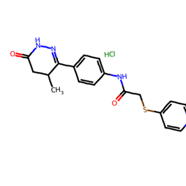 CC1CC(=O)NN=C1c1ccc(NC(=O)CSc2ccncc2)cc1.Cl